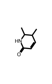 CC1C=CC(=O)NC1C